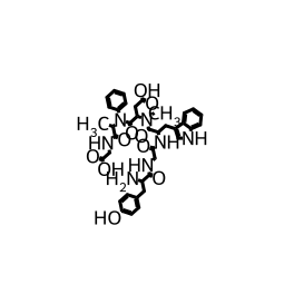 CC(C(=O)NCC(=O)O)N(C(=O)C(CC(=O)O)N(C)C(=O)C(Cc1c[nH]c2ccccc12)NC(=O)CNC(=O)C(N)Cc1ccc(O)cc1)c1ccccc1